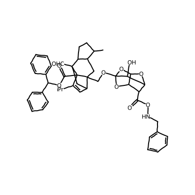 CC(C)C1=CC2CC3(C=O)C4CCC(C)C4CC2(COC24OC5OC(C(C(=O)ONCc6ccccc6)C5O2)C4O)C13C(=O)OC(c1ccccc1)c1ccccc1